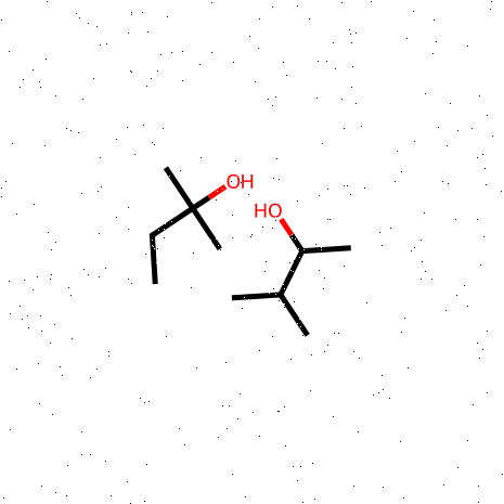 CC(C)C(C)O.CCC(C)(C)O